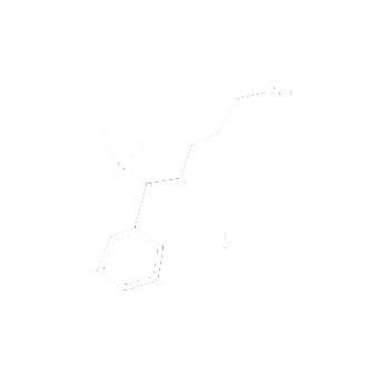 CCCCCCCCCCCCCC(c1ccccc1)[N+](C)(C)C.[Cl-]